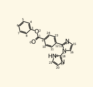 O=C(Oc1ccccc1)c1ccc(-c2nccn2-c2ncc[nH]2)cc1